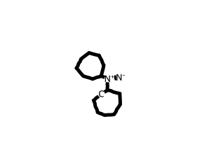 [N-]=[N+](C1CCCCCCC1)C1CCCCCCC1